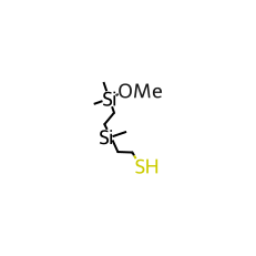 CO[Si](C)(C)CC[Si](C)(C)CCS